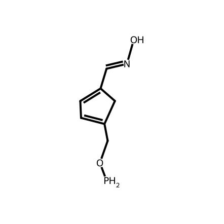 ON=CC1=CC=C(COP)C1